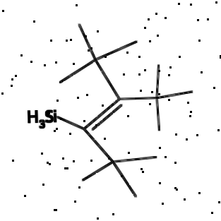 CC(C)(C)C([SiH3])=C(C(C)(C)C)C(C)(C)C